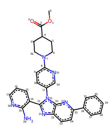 COC(=O)C1CCN(c2ccc(-n3c(-c4cccnc4N)nc4ccc(-c5ccccc5)nc43)cn2)CC1